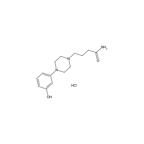 Cl.NC(=O)CCCN1CCN(c2cccc(O)c2)CC1